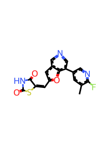 Cc1cc(-c2cncc3cc(C=C4SC(=O)NC4=O)oc23)cnc1F